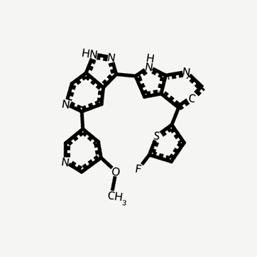 COc1cncc(-c2cc3c(-c4cc5c(-c6ccc(F)s6)ccnc5[nH]4)n[nH]c3cn2)c1